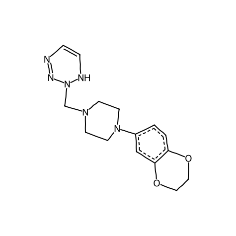 C1=CNN(CN2CCN(c3ccc4c(c3)OCCO4)CC2)N=N1